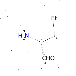 CCC[C@@H](N)C=O